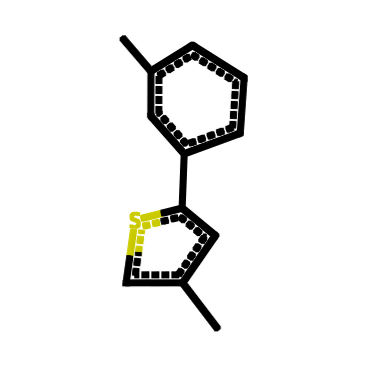 Cc1cccc(-c2cc(C)cs2)c1